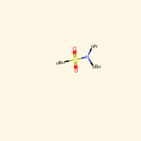 CCCCN(CCC)S(=O)(=O)CCCC